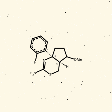 COC1CC[C@]2(c3ccccc3F)N=C(N)SC[C@H]12